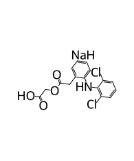 O=C(O)COC(=O)Cc1ccccc1Nc1c(Cl)cccc1Cl.[NaH]